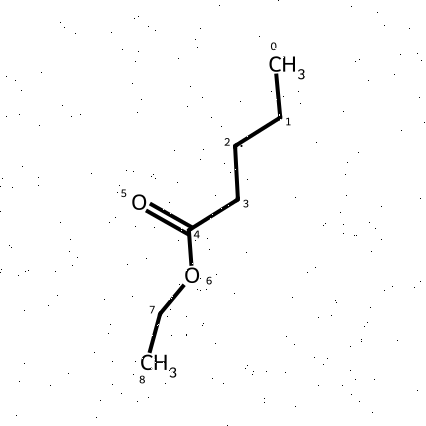 CC[CH]CC(=O)OCC